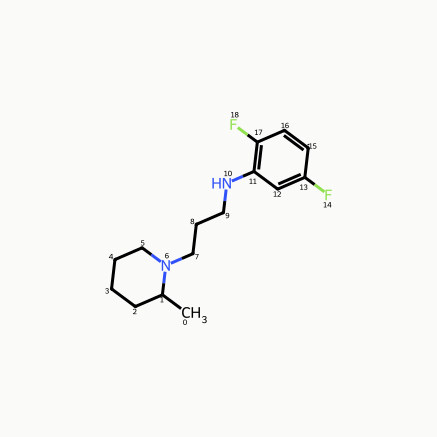 CC1CCCCN1CCCNc1cc(F)[c]cc1F